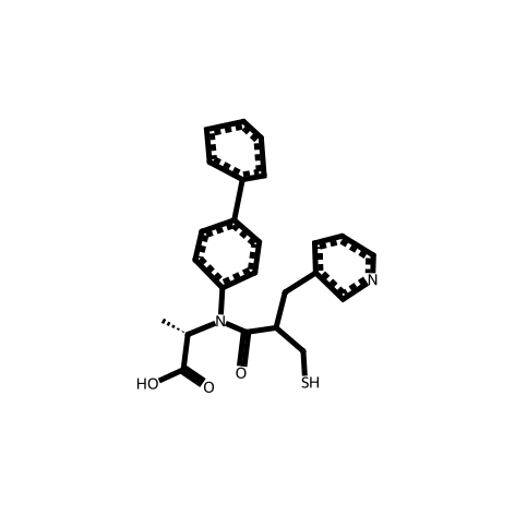 C[C@@H](C(=O)O)N(C(=O)C(CS)Cc1cccnc1)c1ccc(-c2ccccc2)cc1